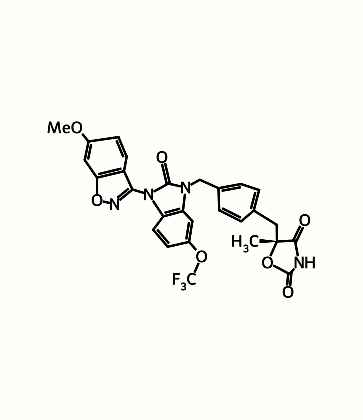 COc1ccc2c(-n3c(=O)n(Cc4ccc(C[C@@]5(C)OC(=O)NC5=O)cc4)c4cc(OC(F)(F)F)ccc43)noc2c1